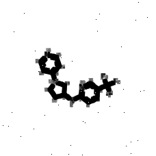 FC(F)(F)c1ccc(SC2CCN(c3ccncc3)C2)nc1